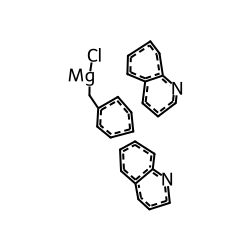 [Cl][Mg][CH2]c1ccccc1.c1ccc2ncccc2c1.c1ccc2ncccc2c1